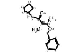 C[C@@H](OCc1ccccc1)[C@H](N)C(=O)NC1CCCC1